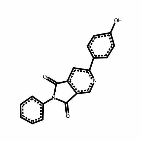 O=C1c2cnc(-c3ccc(O)cc3)cc2C(=O)N1c1ccccc1